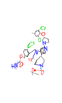 CNC(=O)OCc1ccc(Cl)c(CN(C(=O)[C@H]2CN(C(=O)OC(C)(C)C)CC[C@@H]2c2ccc(N3CC[C@@H](Oc4c(Cl)cc(C)cc4Cl)C3)nc2)C2CC2)c1